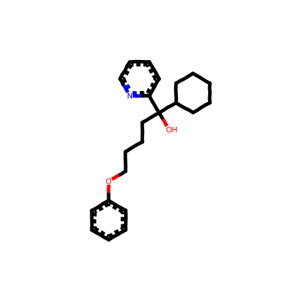 OC(CCCCOc1ccccc1)(c1ccccn1)C1CCCCC1